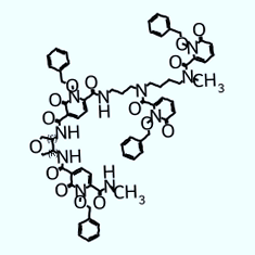 CNC(=O)c1ccc(C(=O)N[C@H]2COC[C@H]2NC(=O)c2ccc(C(=O)NCCCN(CCCCN(C)C(=O)c3cccc(=O)n3OCc3ccccc3)C(=O)c3cccc(=O)n3OCc3ccccc3)n(OCc3ccccc3)c2=O)c(=O)n1OCc1ccccc1